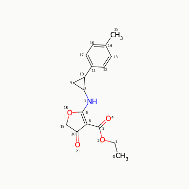 CCOC(=O)C1=C(NC2CC2c2ccc(C)cc2)OCC1=O